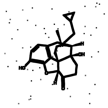 C[N@+]1(CC2CC2)CC[C@]23c4c5ccc(O)c4O[C@H]2C(=O)CC[C@@]3(O)[C@H]1C5